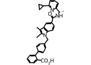 Cc1c(C)n(Cc2ccc(-c3ccccc3C(=O)O)cc2)c2ccc(C(=O)N[C@@H](C)c3cccc(C4CC4)n3)cc12